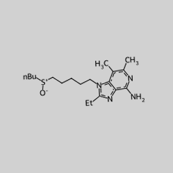 CCCC[S+]([O-])CCCCCn1c(CC)nc2c(N)nc(C)c(C)c21